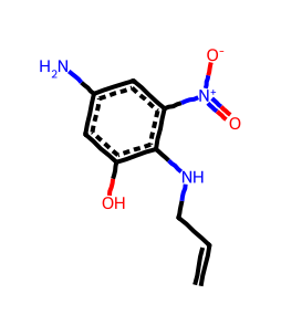 C=CCNc1c(O)cc(N)cc1[N+](=O)[O-]